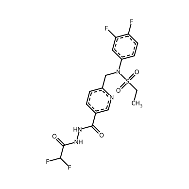 CCS(=O)(=O)N(Cc1ccc(C(=O)NNC(=O)C(F)F)cn1)c1ccc(F)c(F)c1